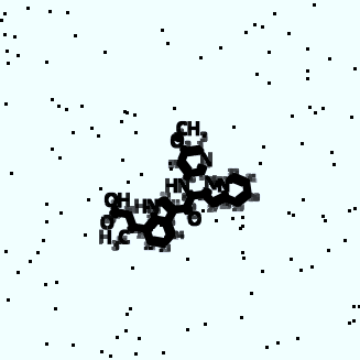 COc1cncc(NC(C(=O)c2c[nH]c3c(C(C)CC(=O)O)cccc23)c2cc3ccccn3n2)c1